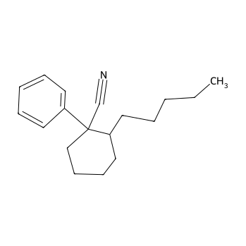 CCCCCC1CCCCC1(C#N)c1ccccc1